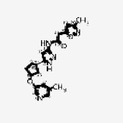 Cc1cncc(O[C@H]2CC[C@@H](c3cc(NC(=O)Cc4cc(C)no4)n[nH]3)C2)c1